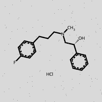 CN(CCCc1ccc(F)cc1)C[C@H](O)c1ccccc1.Cl